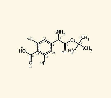 CC(C)(C)OC(=O)C(N)c1cc(F)c(C(=O)O)c(F)c1